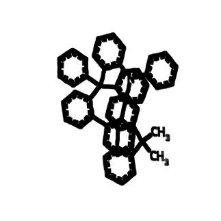 CC1(C)c2ccccc2-c2ccc(N(c3ccccc3)c3ccccc3C3(c4ccccc4)c4ccccc4-c4ccccc4-c4ccccc43)cc21